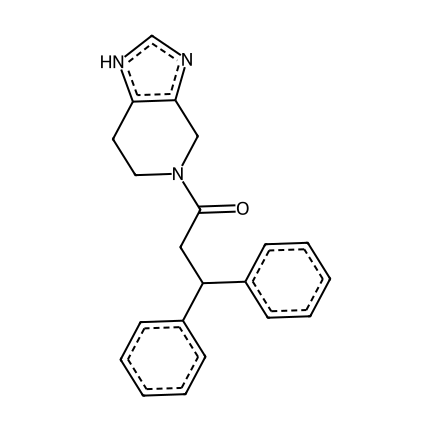 O=C(CC(c1ccccc1)c1ccccc1)N1CCc2[nH]cnc2C1